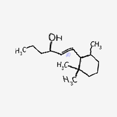 CCCC(O)/C=C/C1C(C)CCCC1(C)C